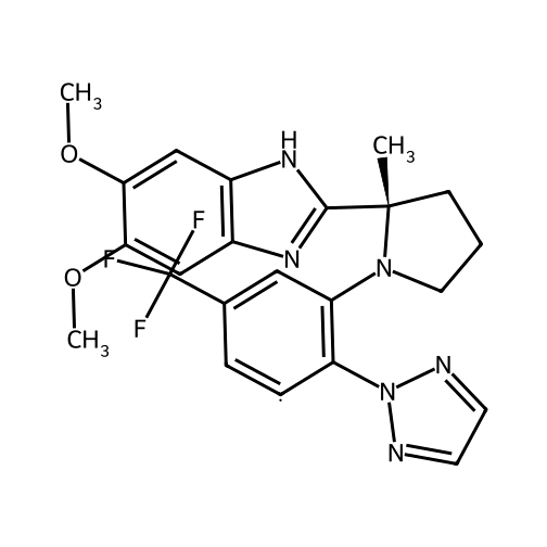 COc1cc2nc([C@]3(C)CCCN3c3cc(C(F)(F)F)c[c]c3-n3nccn3)[nH]c2cc1OC